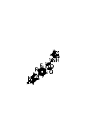 Cn1cc2c(n1)CN(c1ccc(N3C[C@H](CNc4ccon4)OC3=O)c(F)c1F)C2